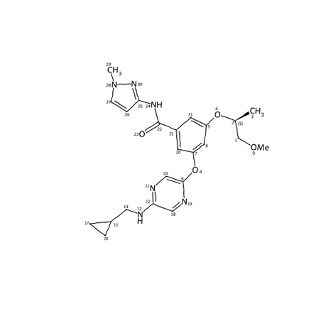 COC[C@H](C)Oc1cc(Oc2cnc(NCC3CC3)cn2)cc(C(=O)Nc2ccn(C)n2)c1